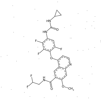 COc1cc2nccc(Oc3c(F)cc(NC(=O)NC4CC4)c(F)c3F)c2cc1C(=O)NCC(F)F